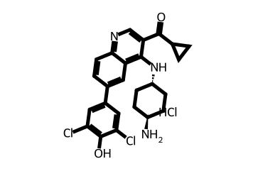 Cl.N[C@H]1CC[C@H](Nc2c(C(=O)C3CC3)cnc3ccc(-c4cc(Cl)c(O)c(Cl)c4)cc23)CC1